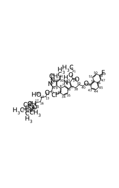 CCOC(=O)c1[nH]c2c(-c3c(COCC(O)CCO[Si](C)(C)C(C)(C)C)nn(C)c3CC)c(Cl)ccc2c1CCCOc1cccc2cc(F)ccc12